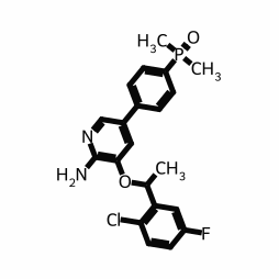 CC(Oc1cc(-c2ccc(P(C)(C)=O)cc2)cnc1N)c1cc(F)ccc1Cl